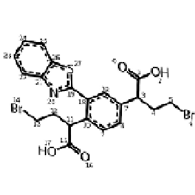 O=C(O)C(CCBr)c1ccc(C(CCBr)C(=O)O)c(-c2nc3ccccc3s2)c1